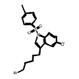 Cc1ccc(S(=O)(=O)n2cc(CCCCCBr)c3cc(Cl)ccc32)cc1